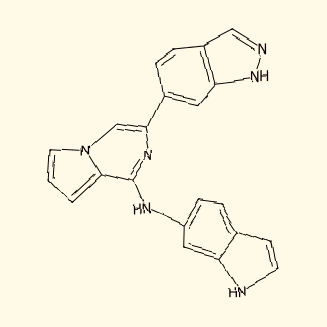 c1cc2c(Nc3ccc4cc[nH]c4c3)nc(-c3ccc4cn[nH]c4c3)cn2c1